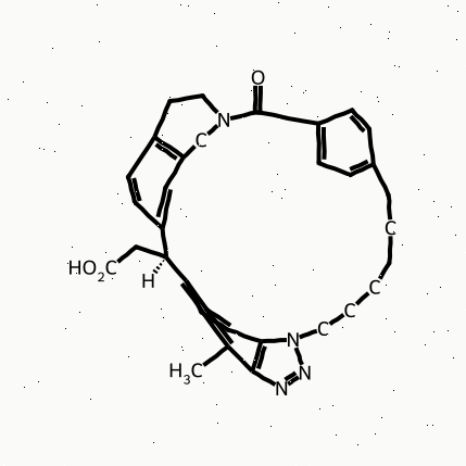 Cc1c2ccc3c1nnn3CCCCCCc1ccc(cc1)C(=O)N1CCc3ccc(cc3C1)[C@@H]2CC(=O)O